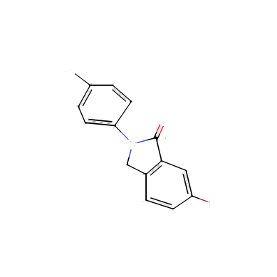 CCCc1ccc(N2Cc3ccc(Br)cc3C2=O)cc1